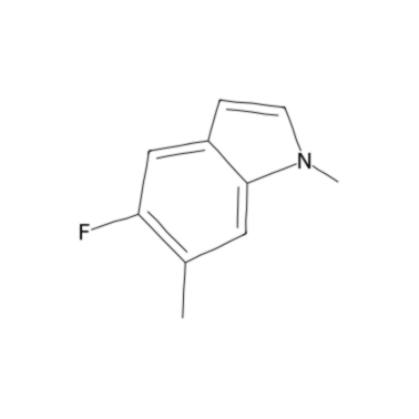 Cc1cc2c(ccn2C)cc1F